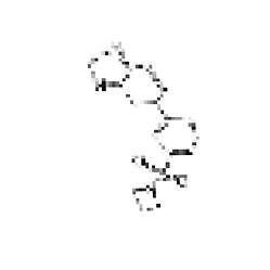 O=S(=O)(c1cccc(-c2ccc3nccnc3c2)c1)N1CCC1